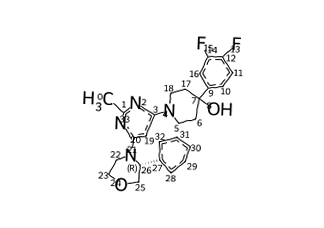 Cc1nc(N2CCC(O)(c3ccc(F)c(F)c3)CC2)cc(N2CCOC[C@H]2c2ccccc2)n1